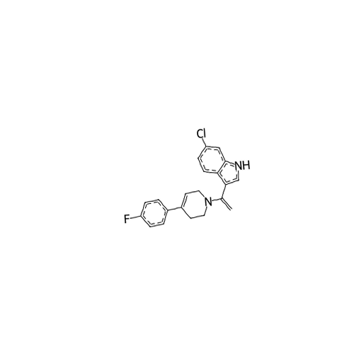 C=C(c1c[nH]c2cc(Cl)ccc12)N1CC=C(c2ccc(F)cc2)CC1